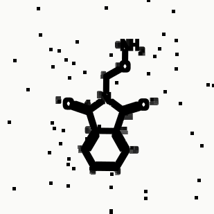 NOCN1C(=O)c2ccccc2C1=O